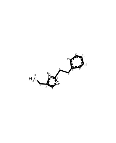 CCc1csc(CCc2ccccc2)n1